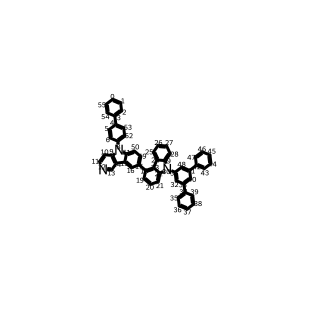 c1ccc(-c2ccc(-n3c4ccncc4c4cc(-c5cccc6c5c5ccccc5n6-c5cc(-c6ccccc6)cc(-c6ccccc6)c5)ccc43)cc2)cc1